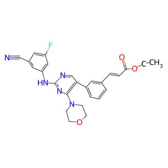 CCOC(=O)C=Cc1cccc(-c2cnc(Nc3cc(F)cc(C#N)c3)nc2N2CCOCC2)c1